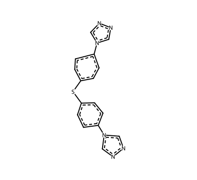 c1cc(-n2cnnc2)ccc1Sc1ccc(-n2cnnc2)cc1